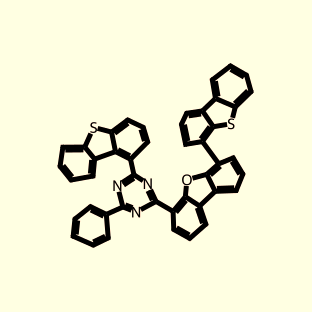 c1ccc(-c2nc(-c3cccc4c3oc3c(-c5cccc6c5sc5ccccc56)cccc34)nc(-c3cccc4sc5ccccc5c34)n2)cc1